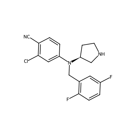 N#Cc1ccc(N(Cc2cc(F)ccc2F)[C@H]2CCNC2)cc1Cl